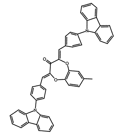 Cc1ccc2c(c1)O/C(=C\c1ccc(-n3c4ccccc4c4ccccc43)cc1)C(=O)/C(=C/c1ccc(-n3c4ccccc4c4ccccc43)cc1)O2